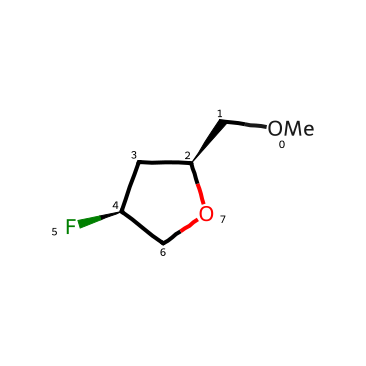 COC[C@@H]1C[C@H](F)CO1